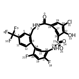 O=C1NCc2cc(C(F)(F)F)ccc2-c2cc(c(F)cc2F)NS(=O)(=O)c2cc1cc(Cl)c2O